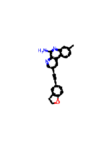 Cc1ccc2c(c1)nc(N)c1ncc(C#Cc3ccc4c(c3)CCO4)cc12